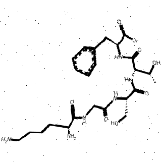 C[C@@H](O)[C@H](NC(=O)[C@H](CO)NC(=O)CNC(=O)[C@@H](N)CCCCN)C(=O)N[C@@H](Cc1ccccc1)C(=O)O